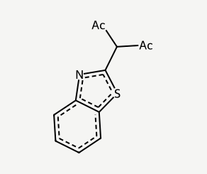 CC(=O)C(C(C)=O)c1nc2ccccc2s1